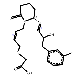 O=C(O)CSC/C=C\CN1C(=O)CCC[C@@H]1/C=C/C(O)Cc1cccc(Cl)c1